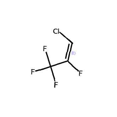 F/C(=C/Cl)C(F)(F)F